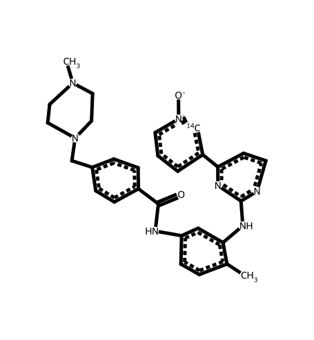 Cc1ccc(NC(=O)c2ccc(CN3CCN(C)CC3)cc2)cc1Nc1nccc(-c2ccc[n+]([O-])[14cH]2)n1